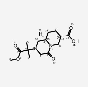 COC(=O)C(C)(C)N1CC(=O)N2C[C@@H](C(=O)O)CC[C@@H]2C1